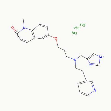 Cl.Cl.Cl.Cn1c(=O)ccc2cc(OCCCN(CCc3cccnc3)Cc3c[nH]cn3)ccc21